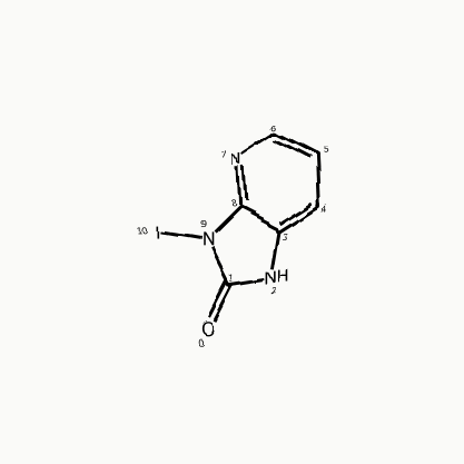 O=c1[nH]c2cccnc2n1I